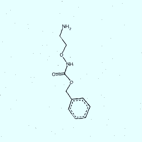 NCCONC(=O)OCc1ccccc1